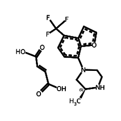 C[C@H]1CN(c2ccc(C(F)(F)F)c3ccoc23)CCN1.O=C(O)C=CC(=O)O